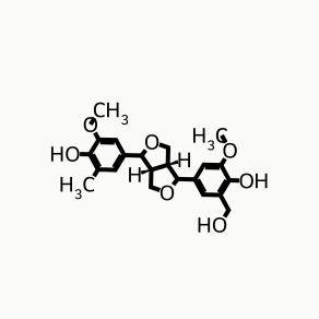 COc1cc(C2OC[C@@H]3C(c4cc(CO)c(O)c(OC)c4)OC[C@H]23)cc(C)c1O